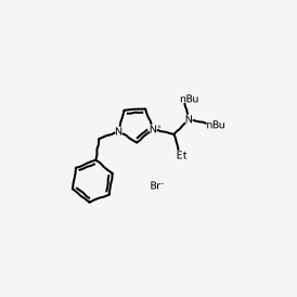 CCCCN(CCCC)C(CC)[n+]1ccn(Cc2ccccc2)c1.[Br-]